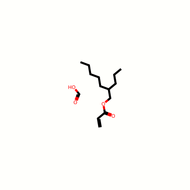 C=CC(=O)OCC(CCC)CCCCC.O=CO